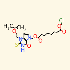 CC(C)OCCn1c(=S)[nH]c(=O)c2c1ccn2COC(=O)CCCCCCC(=O)OCCl